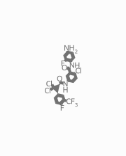 Nc1ccc(NC(=O)c2cc(NC(=O)[C@H]3[C@H](c4ccc(F)c(C(F)(F)F)c4)C3(Cl)Cl)ccc2Cl)c(F)c1